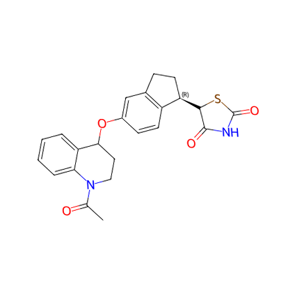 CC(=O)N1CCC(Oc2ccc3c(c2)CC[C@H]3C2SC(=O)NC2=O)c2ccccc21